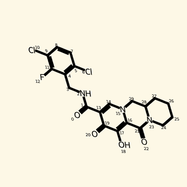 O=C(NCc1c(Cl)ccc(Cl)c1F)c1cn2c(c(O)c1=O)C(=O)N1CCCCC1C2